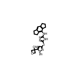 COC1(c2cc(Sc3nnc(Nc4c5c(cc6c4CCC6)CCC5)[nH]3)nn2C(C)C)COC1